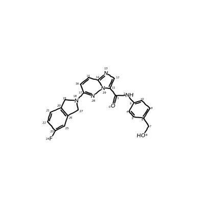 O=C(Nc1ccc(CO)cc1)c1cnc2ccc(N3Cc4ccc(F)cc4C3)nn12